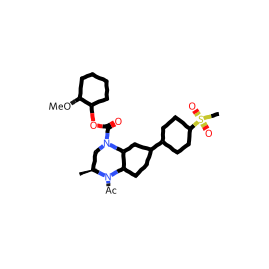 COC1CCCCC1OC(=O)N1C[C@H](C)N(C(C)=O)C2CCC(C3CCC(S(C)(=O)=O)CC3)CC21